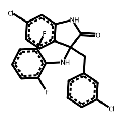 O=C1Nc2cc(Cl)ccc2C1(Cc1cccc(Cl)c1)Nc1c(F)cccc1F